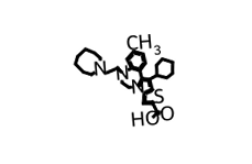 Cc1ccc2c(c1)N(CCN1CCCCCCC1)CCn1c-2c(C2CCCCC2)c2sc(C(=O)O)cc21